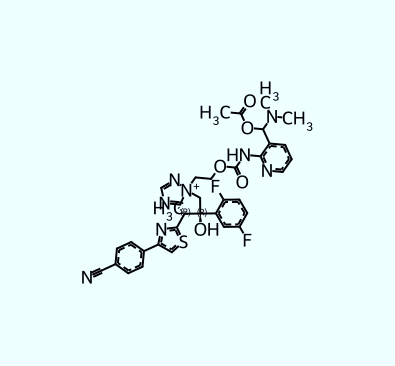 CC(=O)OC(c1cccnc1NC(=O)OCC[N+]1(C[C@](O)(c2cc(F)ccc2F)[C@@H](C)c2nc(-c3ccc(C#N)cc3)cs2)C=NC=N1)N(C)C